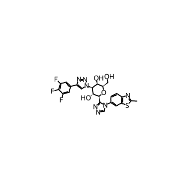 Cc1nc2ccc(-n3cnnc3[C@@H]3O[C@H](CO)[C@H](O)[C@H](n4cc(-c5cc(F)c(F)c(F)c5)nn4)[C@H]3O)cc2s1